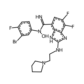 N=C(c1cc(F)c(F)c2nc(NCCN3CCCC3)[nH]c12)N(O)c1ccc(F)c(Br)c1